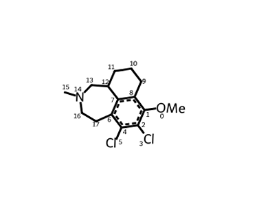 COc1c(Cl)c(Cl)c2c3c1CCCC3CN(C)CC2